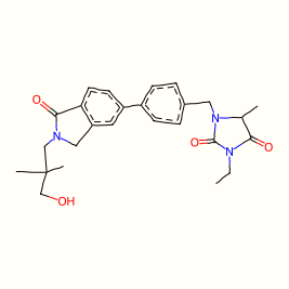 CCN1C(=O)C(C)N(Cc2ccc(-c3ccc4c(c3)CN(CC(C)(C)CO)C4=O)cc2)C1=O